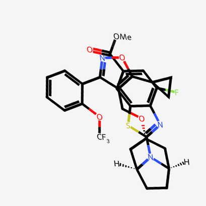 COC(=O)c1cc(F)c2nc(N3[C@@H]4CC[C@H]3C[C@H](OCc3c(-c5ccccc5OC(F)(F)F)noc3C3CC3)C4)sc2c1